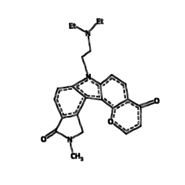 CCN(CC)CCn1c2ccc3c(c2c2c4occc(=O)c4ccc21)CN(C)C3=O